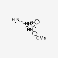 COc1ccc(Nc2nc3ccccc3nc2C(=O)NCCCN)cc1